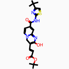 CC(C)(C)OC(=O)/C=C/C1=C(O)N=C2C=C(C(=O)Nc3nc(C(C)(C)C)cs3)C=CN2C1